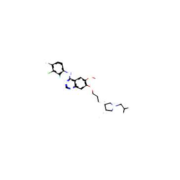 COc1cc2c(Nc3ccc(Br)c(Cl)c3F)ncnc2cc1OCCC[C@H]1CN(CC(C)C)C[C@H]1C